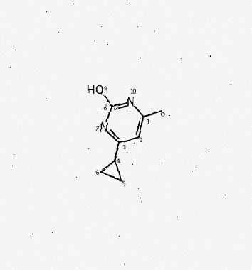 Cc1cc(C2CC2)nc(O)n1